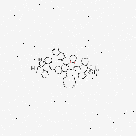 CC1(C)c2ccccc2N(c2ccc3c(-c4cc5ccccc5cc4-c4ccccc4)c4cc(N5c6ccccc6C(C)(C)c6ccccc65)ccc4c(/C4=C/C=C\C/C=C\C=C/C4)c3c2)c2ccccc21